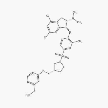 Cc1cc(S(=O)(=O)N2CC[C@H](COc3ccnc(CN)c3)C2)ccc1O[C@H]1c2cc(Cl)cc(Cl)c2C[C@@H]1N(C)C